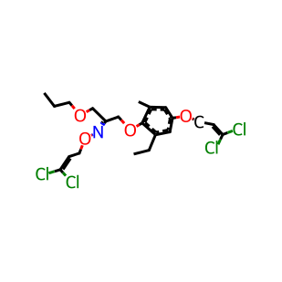 CCCOCC(COc1c(C)cc(OCC=C(Cl)Cl)cc1CC)=NOCC=C(Cl)Cl